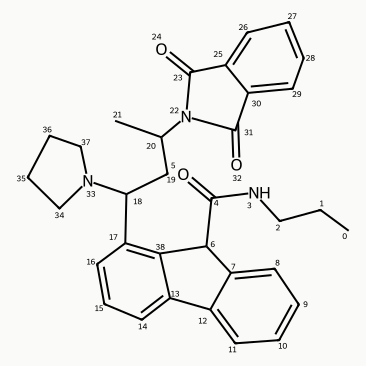 CCCNC(=O)C1c2ccccc2-c2cccc(C(CC(C)N3C(=O)c4ccccc4C3=O)N3CCCC3)c21